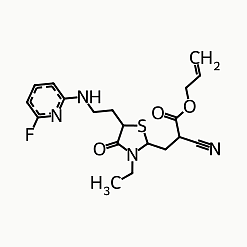 C=CCOC(=O)C(C#N)CC1SC(CCNc2cccc(F)n2)C(=O)N1CC